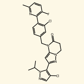 Cc1ccc(F)c(-c2ccc(CN3C(=O)CCn4nc(-c5c(Cl)cnn5C(C)C)cc43)cc2Cl)n1